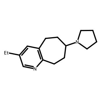 CCc1cnc2c(c1)CCC(N1CCCC1)CC2